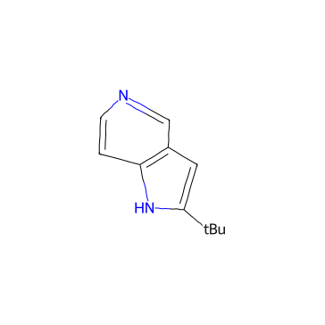 CC(C)(C)c1cc2cnccc2[nH]1